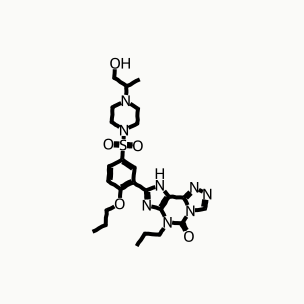 CCCOc1ccc(S(=O)(=O)N2CCN(C(C)CO)CC2)cc1-c1nc2c([nH]1)c1nncn1c(=O)n2CCC